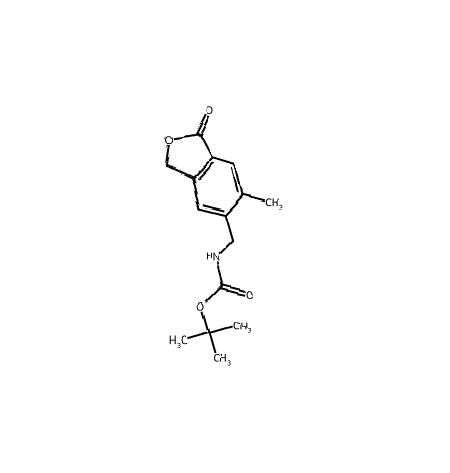 Cc1cc2c(cc1CNC(=O)OC(C)(C)C)COC2=O